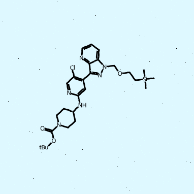 CC(C)(C)OC(=O)N1CCC(Nc2cc(-c3nn(COCC[Si](C)(C)C)c4cccnc34)c(Cl)cn2)CC1